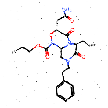 CC(C)CCOC(=O)N1O[C@H](CC(N)=O)C(=O)N2C1CN(CCc1ccccc1)C(=O)[C@@H]2CC(C)C